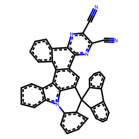 N#Cc1nc2c3ccccc3c3c(cc4c5c3c3ccccc3n5-c3ccccc3C43c4ccccc4-c4ccccc43)c2nc1C#N